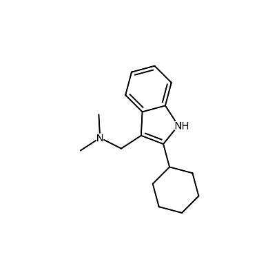 CN(C)Cc1c(C2CCCCC2)[nH]c2ccccc12